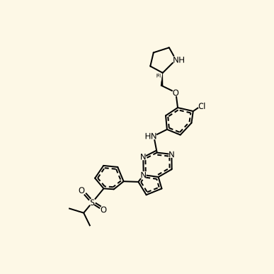 CC(C)S(=O)(=O)c1cccc(-c2ccc3cnc(Nc4ccc(Cl)c(OC[C@H]5CCCN5)c4)nn23)c1